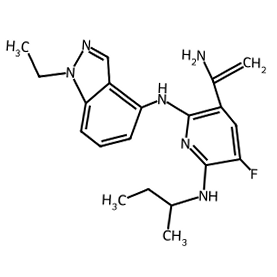 C=C(N)c1cc(F)c(NC(C)CC)nc1Nc1cccc2c1cnn2CC